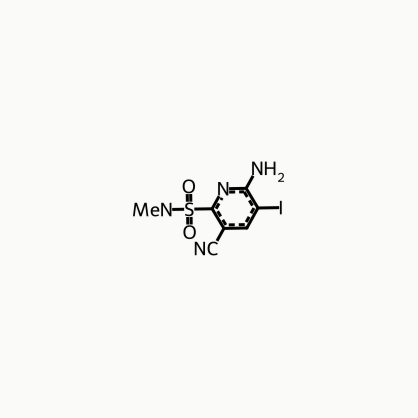 CNS(=O)(=O)c1nc(N)c(I)cc1C#N